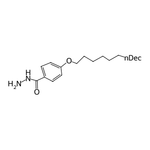 CCCCCCCCCCCCCCCCOc1ccc(C(=O)NN)cc1